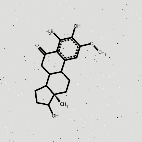 Bc1c(O)c(OC)cc2c1C(=O)CC1C2CC[C@]2(C)C(O)CCC12